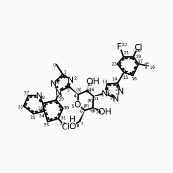 Cc1nc([C@@H]2O[C@H](CO)[C@H](O)[C@H](n3cc(-c4cc(F)c(Cl)c(F)c4)nn3)[C@H]2O)n(-c2cc(Cl)cc3cccnc23)n1